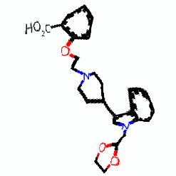 O=C(O)c1ccccc1OCCN1CCC(c2cn(CC3OCCO3)c3ccccc23)CC1